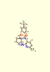 Cc1cc(C(F)(F)F)nc2c1CN(S(=O)(=O)c1ccc(C(C)(C)F)cc1)c1c(C)cccc1N2